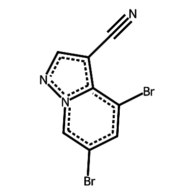 N#Cc1cnn2cc(Br)cc(Br)c12